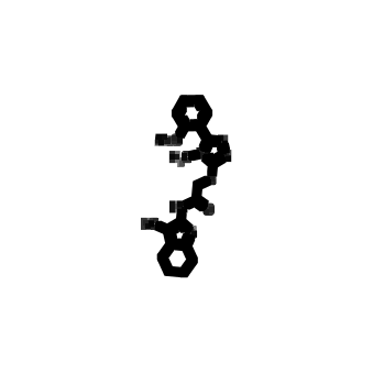 COc1ccccc1-c1nnc(SCC(=O)Nc2sc3c(c2C#N)CCCC3)n1C